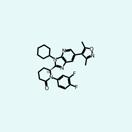 Cc1noc(C)c1-c1cnc2c(c1)nc([C@@H]1CCCC(=O)N1c1ccc(F)c(F)c1)n2C1CCCCC1